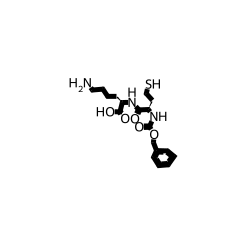 NCCCC[C@H](NC(=O)[C@H](CCS)NC(=O)OCc1ccccc1)C(=O)O